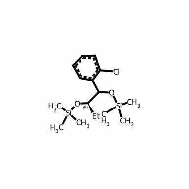 CC[C@@H](O[Si](C)(C)C)C(O[Si](C)(C)C)c1ccccc1Cl